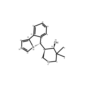 CC1(C)COC[C@@H]([C@H]2c3ccccc3-c3cncn32)[C@H]1O